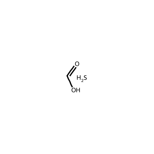 O=CO.S